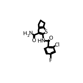 NC(=O)c1c(NC(=O)c2ccc(F)cc2Cl)sc2c1CCC2